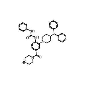 O=C(Nc1ccccc1)Nc1ccc(C(=O)N2CCNCC2)cc1N1CCC(C(c2ccccc2)c2ccccc2)CC1